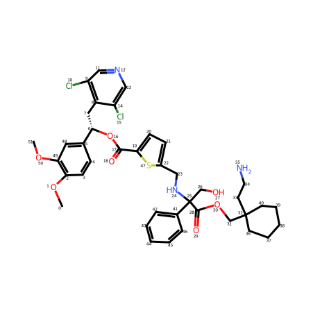 COc1ccc([C@H](Cc2c(Cl)cncc2Cl)OC(=O)c2ccc(CNC(CO)(C(=O)OCC3(CCN)CCCCC3)c3ccccc3)s2)cc1OC